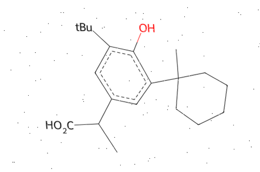 CC(C(=O)O)c1cc(C(C)(C)C)c(O)c(C2(C)CCCCC2)c1